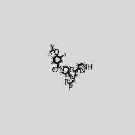 Cc1cc(C(=O)N2CCC3(CC2)CN(CC(F)F)CC(c2cc[nH]n2)O3)ccc1OC(C)C